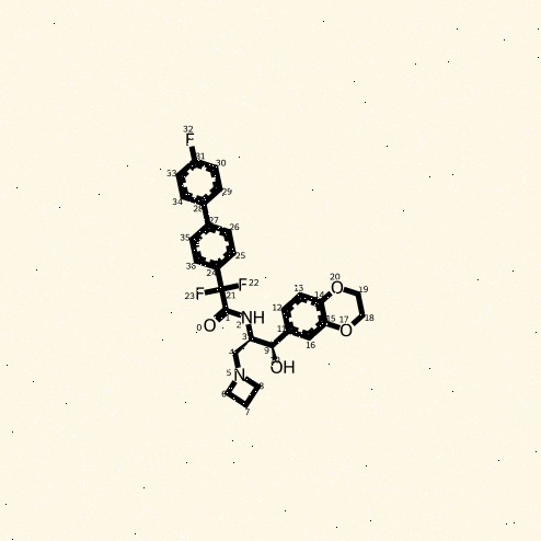 O=C(N[C@H](CN1CCC1)[C@H](O)c1ccc2c(c1)OCCO2)C(F)(F)c1ccc(-c2ccc(F)cc2)cc1